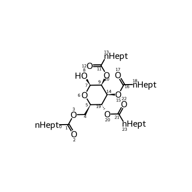 CCCCCCCC(=O)OC[C@H]1O[C@@H](O)[C@@H](OC(=O)CCCCCCC)[C@@H](OC(=O)CCCCCCC)[C@@H]1OC(=O)CCCCCCC